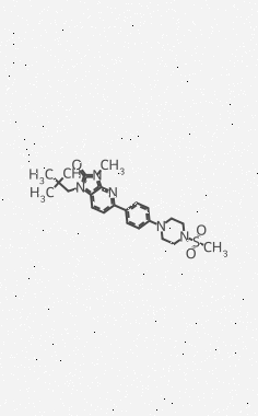 Cn1c(=O)n(CC(C)(C)C)c2ccc(-c3ccc(N4CCN(S(C)(=O)=O)CC4)cc3)nc21